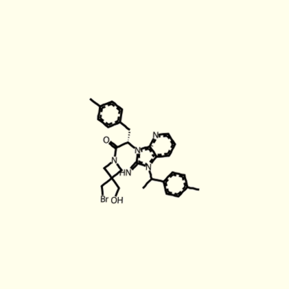 Cc1ccc(C[C@@H](C(=O)N2CC(CO)(CBr)C2)n2c(=N)n(C(C)c3ccc(C)cc3)c3cccnc32)cc1